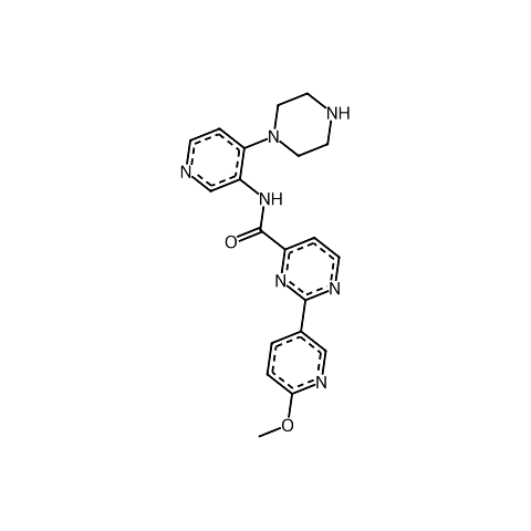 COc1ccc(-c2nccc(C(=O)Nc3cnccc3N3CCNCC3)n2)cn1